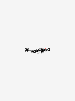 C=CC(=O)OCCCCOc1ccc(C(O)OC2=CC=C(OC(=O)c3ccc(-c4ccccc4)cc3)CC2)cc1